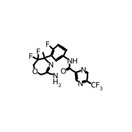 CC1(c2cc(NC(=O)c3cnc(C(F)(F)F)cn3)ccc2F)N=C(N)COCC1(F)F